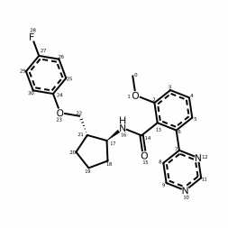 COc1cccc(-c2ccncn2)c1C(=O)N[C@H]1CCC[C@@H]1COc1ccc(F)cc1